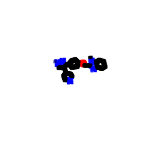 Cn1cc(-c2ccncc2)c(-c2ccc(OCc3nc4ccccc4n3C)cc2)n1